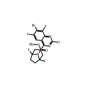 CC(C)(C)OC(=O)N1C2(F)CCC1(F)CN(c1nc(Cl)nc3c(F)c(Br)c(F)cc13)C2